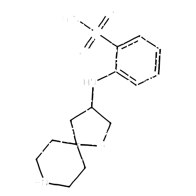 NS(=O)(=O)c1ccccc1NC1COC2(CCNCC2)C1